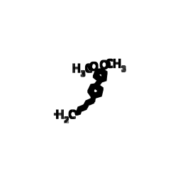 [CH2]CC=CC=Cc1ccc(-c2ccc(OC)c(OC)c2)cc1